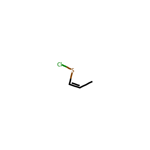 C/C=C\SCl